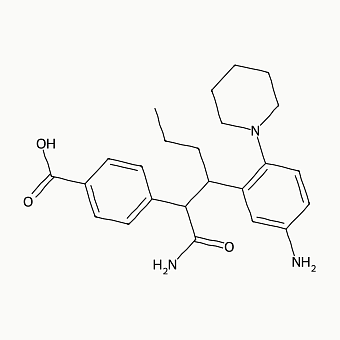 CCCC(c1cc(N)ccc1N1CCCCC1)C(C(N)=O)c1ccc(C(=O)O)cc1